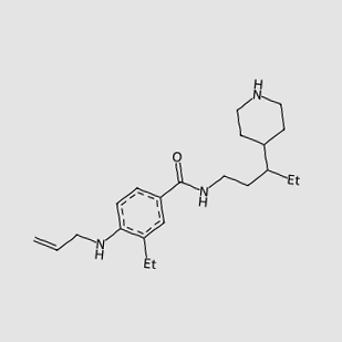 C=CCNc1ccc(C(=O)NCCC(CC)C2CCNCC2)cc1CC